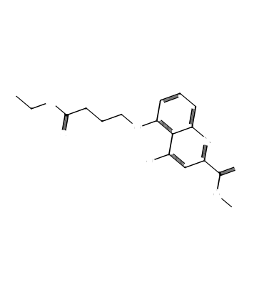 CCOC(=O)CCCOc1cccc2nc(C(=O)OC)cc(O)c12